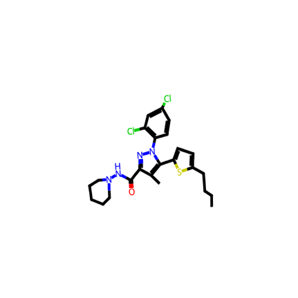 CCCCc1ccc(-c2c(C)c(C(=O)NN3CCCCC3)nn2-c2ccc(Cl)cc2Cl)s1